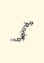 Cn1nc2c(=O)n(CC3(O)CCN(Cc4ccc(-c5nccs5)cc4F)CC3)cnc2c1-c1ccc(CN)cc1